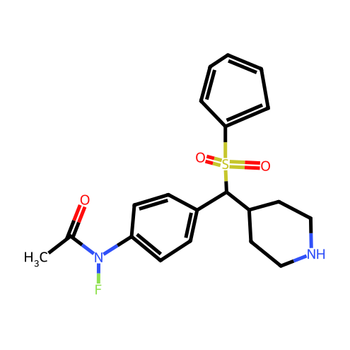 CC(=O)N(F)c1ccc(C(C2CCNCC2)S(=O)(=O)c2ccccc2)cc1